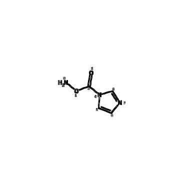 NOC(=O)n1ccnc1